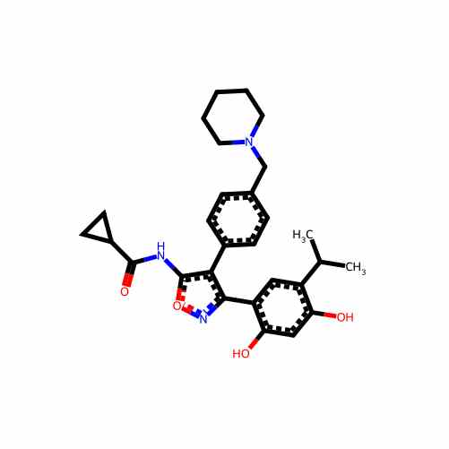 CC(C)c1cc(-c2noc(NC(=O)C3CC3)c2-c2ccc(CN3CCCCC3)cc2)c(O)cc1O